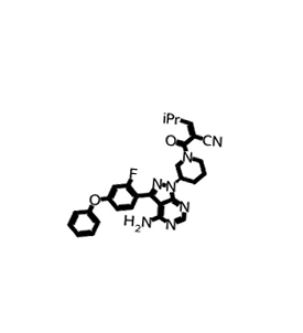 CC(C)/C=C(/C#N)C(=O)N1CCC[C@@H](n2nc(-c3ccc(Oc4ccccc4)cc3F)c3c(N)ncnc32)C1